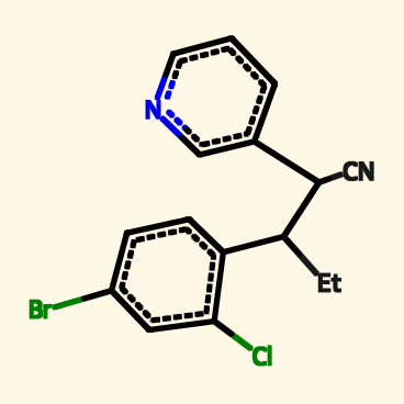 CCC(c1ccc(Br)cc1Cl)C(C#N)c1cccnc1